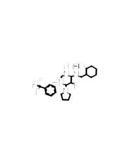 OC1CCCCC1CNC1NCNC(N2CCC[C@@H]2c2ccc(C(F)(F)F)cc2)C1F